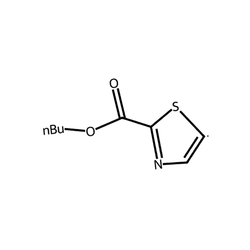 CCCCOC(=O)c1nc[c]s1